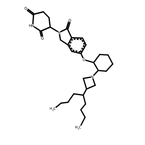 CCCCC(CCCC)C1CN(C2CCCCC2Oc2ccc3c(c2)CN(C2CCC(=O)NC2=O)C3=O)C1